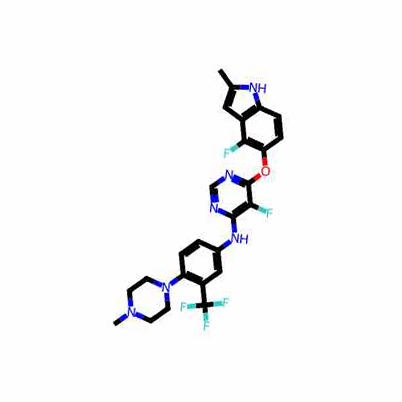 Cc1cc2c(F)c(Oc3ncnc(Nc4ccc(N5CCN(C)CC5)c(C(F)(F)F)c4)c3F)ccc2[nH]1